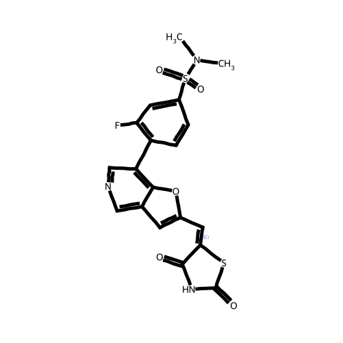 CN(C)S(=O)(=O)c1ccc(-c2cncc3cc(/C=C4/SC(=O)NC4=O)oc23)c(F)c1